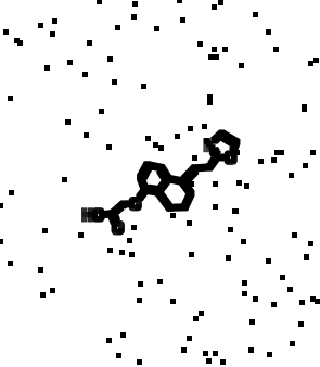 O=C(O)COc1cccc2c1CCCC2=CCc1ncco1